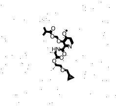 COc1ccnc(C(=O)N[C@@H](C)C(=O)O[C@@H](C)COCC2CC2)c1OCOC(=O)C(C)C